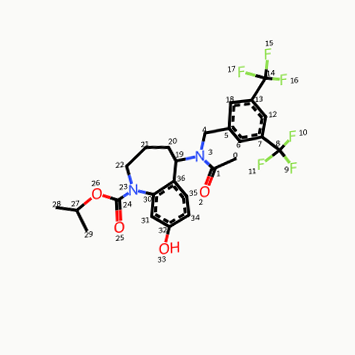 CC(=O)N(Cc1cc(C(F)(F)F)cc(C(F)(F)F)c1)C1CCCN(C(=O)OC(C)C)c2cc(O)ccc21